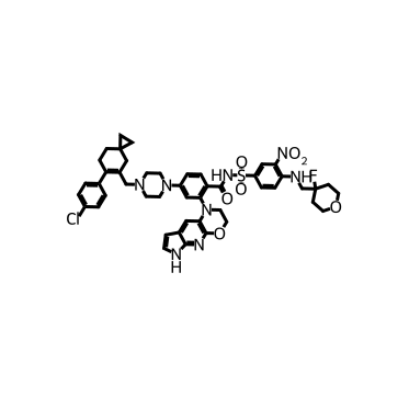 O=C(NS(=O)(=O)c1ccc(NCC2(F)CCOCC2)c([N+](=O)[O-])c1)c1ccc(N2CCN(CC3=C(c4ccc(Cl)cc4)CCC4(CC4)C3)CC2)cc1N1CCOc2nc3[nH]ccc3cc21